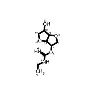 CCNC(=N)OC1COC2C(O)COC12